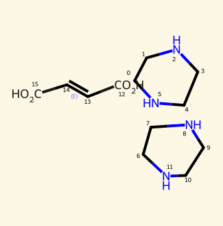 C1CNCCN1.C1CNCCN1.O=C(O)/C=C/C(=O)O